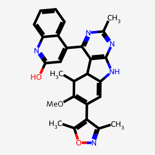 COC1=C(c2c(C)noc2C)C=C2Nc3nc(C)nc(-c4cc(O)nc5ccccc45)c3C2C1C